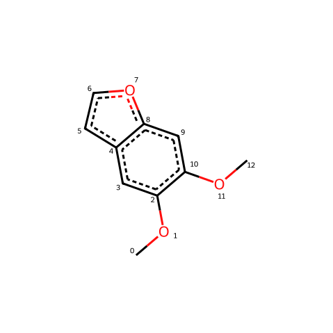 COc1cc2ccoc2cc1OC